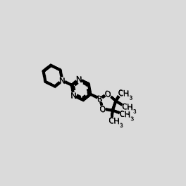 CC1(C)OB(c2cnc(N3CCCCC3)nc2)OC1(C)C